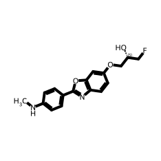 CNc1ccc(-c2nc3ccc(OC[C@H](O)CF)cc3o2)cc1